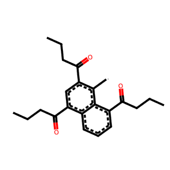 [CH2]c1c(C(=O)CCC)cc(C(=O)CCC)c2cccc(C(=O)CCC)c12